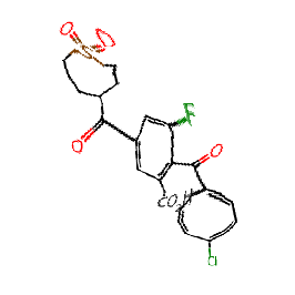 O=C(O)c1cc(C(=O)C2CCS(=O)(=O)CC2)cc(F)c1C(=O)c1ccc(Cl)cc1